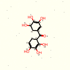 O=C(C1=CC(O)=C(O)C(O)C1)C1CC=C(O)C(O)=C1O